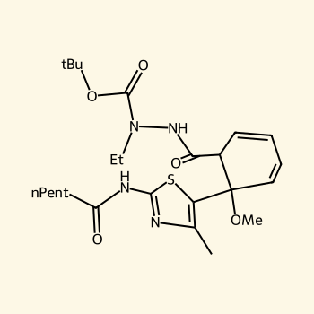 CCCCCC(=O)Nc1nc(C)c(C2(OC)C=CC=CC2C(=O)NN(CC)C(=O)OC(C)(C)C)s1